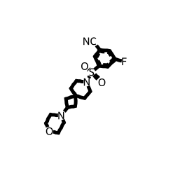 N#Cc1cc(F)cc(S(=O)(=O)N2CCC3(CC2)CC(N2CCOCC2)C3)c1